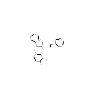 O=C(N[C@H]1c2ccccc2[C@H](Cc2ccc(Cl)c(Cl)c2)C1O)c1ccccc1